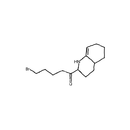 O=C(CCCCBr)C1CCC2CCCC=C2N1